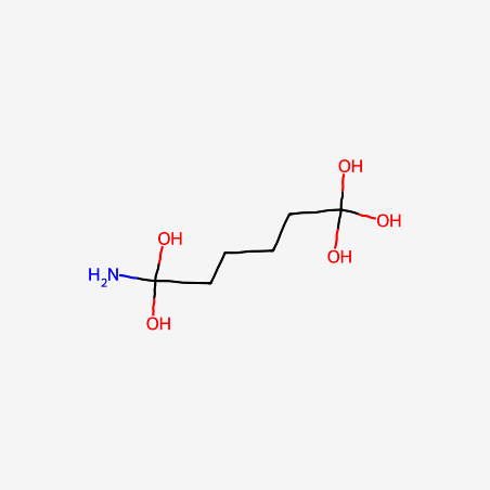 NC(O)(O)CCCCC(O)(O)O